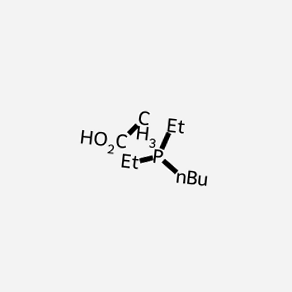 CC(=O)O.CCCCP(CC)CC